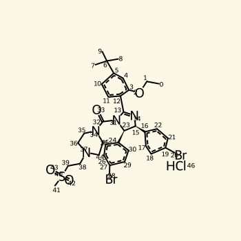 CCOc1cc(C(C)(C)C)ccc1C1=N[C@@H](c2ccc(Br)cc2)[C@@H](c2ccc(Br)cc2)N1C(=O)N1CCN(CCS(C)(=O)=O)CC1.Cl